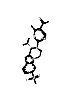 CC(=O)c1cnc(N2CCn3c(cc4ccc(S(C)(=O)=O)cc43)[C@@H]2C(C)C)nc1C